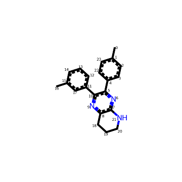 Cc1ccc(-c2nc3c(nc2-c2cccc(C)c2)CCCN3)cc1